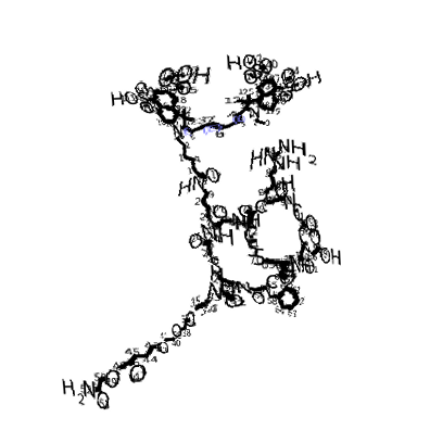 CC[N+]1=C(/C=C/C=C/C=C2/N(CCCCCC(=O)NCCCC[C@@H]3NC(=O)CSC[C@@H](C(=O)NCCOCCOCCOCCCC(=O)COCC(N)=O)NC(=O)[C@H](Cc4ccccc4)CC(=O)[C@@H]4CSSC[C@H](NC3=O)C(=O)C[C@@H](CCCNC(=N)N)C(=O)NCC(=O)C[C@@H](CC(=O)O)C(=O)N4)c3ccc4c(S(=O)(=O)O)cc(S(=O)(=O)O)cc4c3C2(C)C)C(C)(C)c2c1ccc1c(S(=O)(=O)O)cc(S(=O)(=O)O)cc21